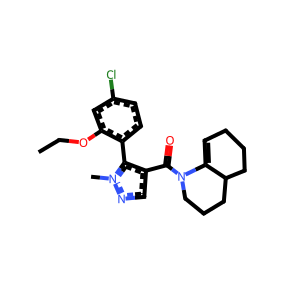 CCOc1cc(Cl)ccc1-c1c(C(=O)N2CCCC3CCCC=C32)cnn1C